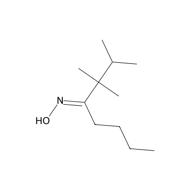 CCCC/C(=N\O)C(C)(C)C(C)C